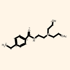 CC(=O)OCCN(CCO)CCNC(=O)c1ccc(CN)cc1